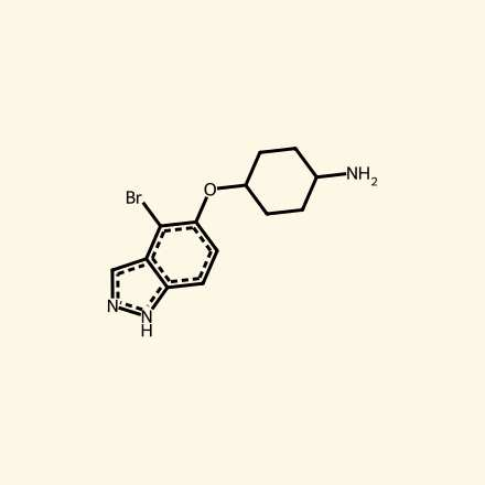 NC1CCC(Oc2ccc3[nH]ncc3c2Br)CC1